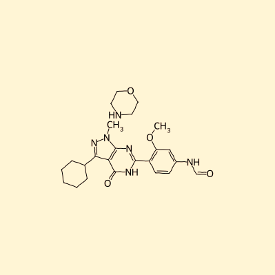 C1COCCN1.COc1cc(NC=O)ccc1-c1nc2c(c(C3CCCCC3)nn2C)c(=O)[nH]1